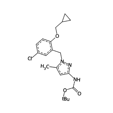 Cc1cc(NC(=O)OC(C)(C)C)nn1Cc1cc(Cl)ccc1OCC1CC1